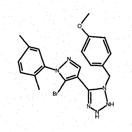 COc1ccc(CN2NNN=C2c2cnn(-c3cc(C)ccc3C)c2Br)cc1